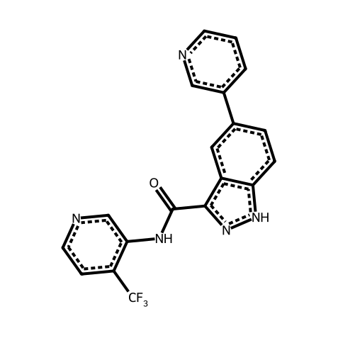 O=C(Nc1cnccc1C(F)(F)F)c1n[nH]c2ccc(-c3cccnc3)cc12